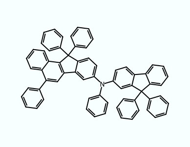 c1ccc(-c2cc3c(c4ccccc24)C(c2ccccc2)(c2ccccc2)c2ccc(N(c4ccccc4)c4ccc5c(c4)C(c4ccccc4)(c4ccccc4)c4ccccc4-5)cc2-3)cc1